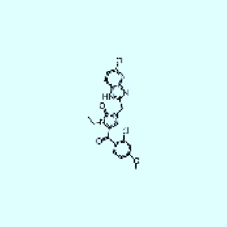 CCn1c(C(=O)c2ccc(OC)cc2Cl)cn(Cc2nc3nc(Cl)ccc3[nH]2)c1=O